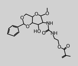 C=C(C)C(=O)OCCNC(=O)NC1C(OC)OC2COC(c3ccccc3)OC2C1O